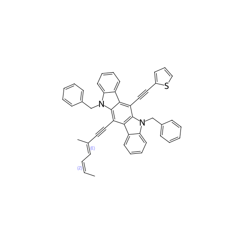 C/C=C\C=C(/C)C#Cc1c2c3ccccc3n(Cc3ccccc3)c2c(C#Cc2cccs2)c2c3ccccc3n(Cc3ccccc3)c12